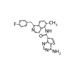 Cc1ccc2c(Cc3ccc(F)cc3)nccc2c1NC(=O)c1csc2c(N)ncnc12